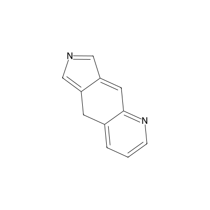 C1=NC=C2Cc3cccnc3C=C12